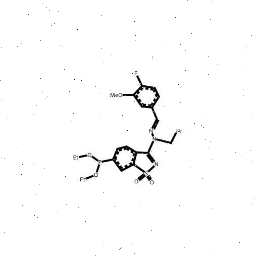 CCOP(OCC)c1ccc2c(c1)S(=O)(=O)N=C2N(CC(C)C)/N=C/c1ccc(F)c(OC)c1